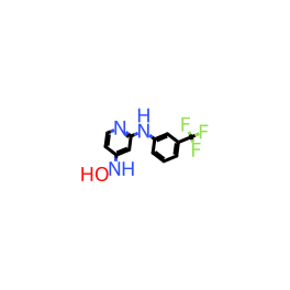 ONc1ccnc(Nc2cccc(C(F)(F)F)c2)c1